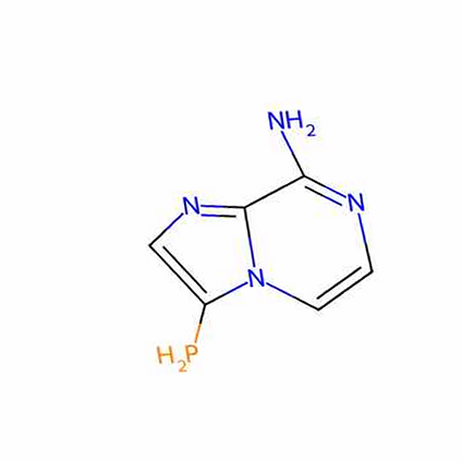 Nc1nccn2c(P)cnc12